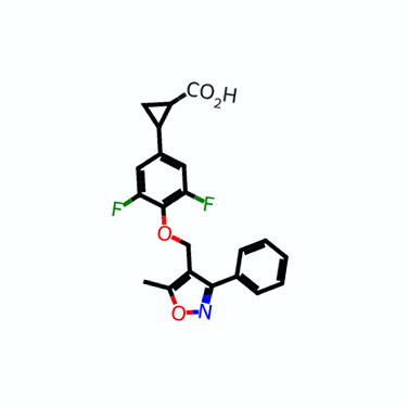 Cc1onc(-c2ccccc2)c1COc1c(F)cc(C2CC2C(=O)O)cc1F